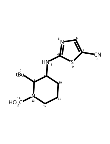 CC(C)(C)C1C(Nc2ncc(C#N)s2)CCCN1C(=O)O